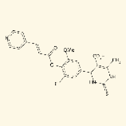 COc1cc(C2NC(=S)NC(C)=C2C(=O)O)cc(Cl)c1OC(=O)C=Cc1ccncc1